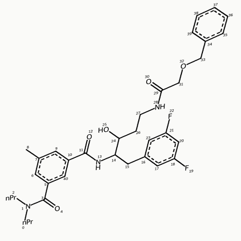 CCCN(CCC)C(=O)c1cc(C)cc(C(=O)NC(Cc2cc(F)cc(F)c2)C(O)CCNC(=O)COCc2ccccc2)c1